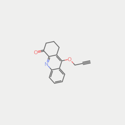 C#CCOc1c2c(nc3ccccc13)C(=O)CCC2